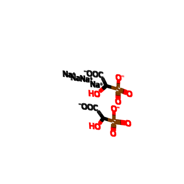 O=C([O-])C(O)S(=O)(=O)[O-].O=C([O-])C(O)S(=O)(=O)[O-].[Na+].[Na+].[Na+].[Na+]